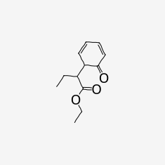 CCOC(=O)C(CC)C1C=CC=CC1=O